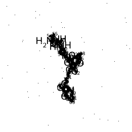 COc1cc2c(cc1OCCCCCOc1cc3c(cc1OC)C(=O)N1C=C(C)CC1[C@H](O)N3C(=O)OCc1ccc(NNC(C)C(=O)NC(C(N)=O)C(C)C)cc1)N=CC1CC(C)=CN1C2=O